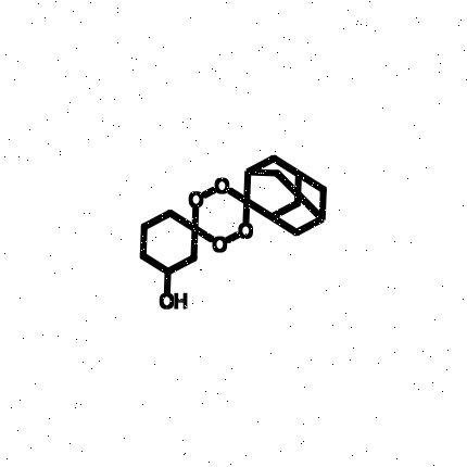 OC1CCCC2(C1)OOC1(OO2)C2CC3CC(C2)CC1C3